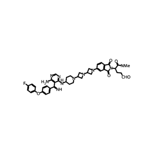 CNC(=O)C(CCC=O)N1C(=O)c2ccc(N3CC(N4CC(N5CCC(Nc6ncnc(N)c6C(=N)c6ccc(Oc7ccc(F)cc7)cc6)CC5)C4)C3)cc2C1=O